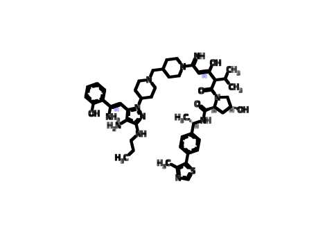 CCCNc1nn(C2CCN(CC3CCN(C(=N)/C=C(\O)C(C(=O)N4C[C@H](O)C[C@H]4C(=O)N[C@@H](C)c4ccc(-c5scnc5C)cc4)C(C)C)CC3)CC2)c(/C=C(\N)c2ccccc2O)c1N